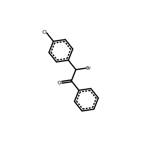 O=C(c1ccccc1)C(Br)c1ccc(Cl)cc1